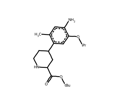 Cc1cc(N)c(OC(C)C)cc1C1CCNC(C(=O)OC(C)(C)C)C1